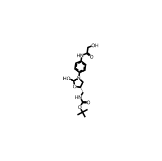 CC(C)(C)OC(=O)NC[C@H]1CN(c2ccc(NC(=O)CO)cc2)C(O)O1